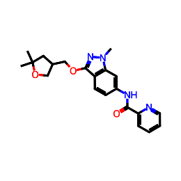 Cn1nc(OCC2COC(C)(C)C2)c2ccc(NC(=O)c3ccccn3)cc21